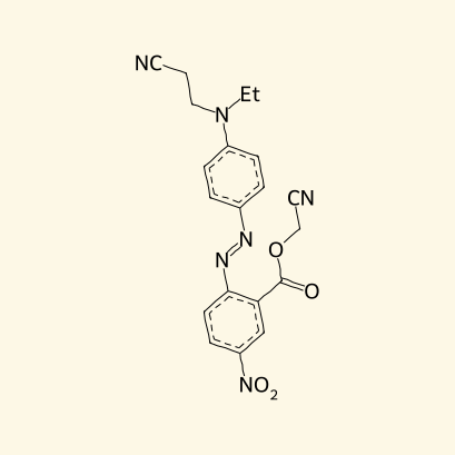 CCN(CCC#N)c1ccc(N=Nc2ccc([N+](=O)[O-])cc2C(=O)OCC#N)cc1